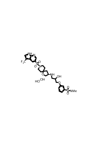 CNS(=O)(=O)c1cccc(OCC(O)CN[C@H]2COC3(CCN(S(=O)(=O)c4cnc5[nH]cc(C(F)(F)F)c5c4)CC3)C2)c1.Cl.Cl